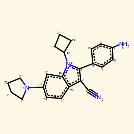 N#Cc1c(-c2ccc(N)cc2)n(C2CCC2)c2cc(N3CCCC3)ccc12